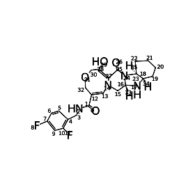 O=C(NCc1ccc(F)cc1F)/C1=C/N2C[C@H]3N[C@H]4CCCC[C@@H]4N3C(=O)/C2=C(\O)COC1